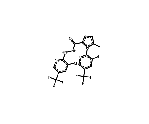 Cc1ccc(C(=O)NNc2ncc(C(F)(F)F)cc2Cl)n1-c1ncc(C(F)(F)F)cc1F